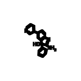 NC1=Nc2ccc(-c3cccnc3)cc2C1(O)c1ccccc1